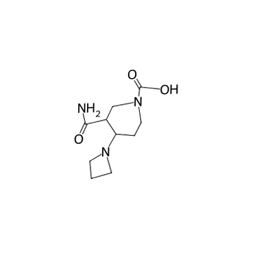 NC(=O)C1CN(C(=O)O)CCC1N1CCC1